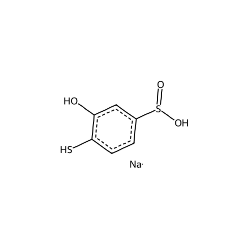 O=S(O)c1ccc(S)c(O)c1.[Na]